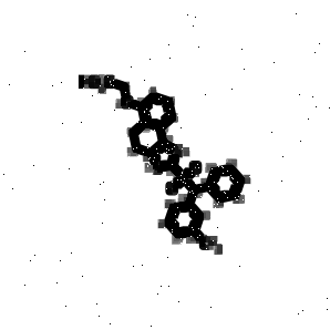 O=C(O)COc1cccc2c1CCc1sc(S(=O)(=O)C(c3ccccc3)c3cccc(C(F)(F)F)c3)nc1-2